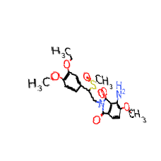 CCOc1cc(C(CN2C(=O)c3ccc(OC)c(N)c3C2=O)S(C)(=O)=O)ccc1OC